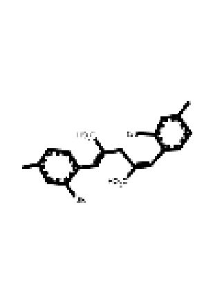 Cc1ccc(C=C(CC(=Cc2ccc(C)cc2C(C)(C)C)C(=O)O)C(=O)O)c(C(C)(C)C)c1